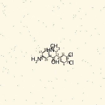 CNCC(c1ccc(Cl)c(Cl)c1)[C@@H](O)c1cccc(N)c1